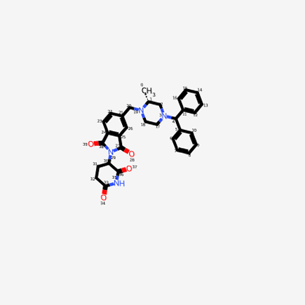 C[C@@H]1CN(C(c2ccccc2)c2ccccc2)CCN1Cc1ccc2c(c1)C(=O)N(C1CCC(=O)NC1=O)C2=O